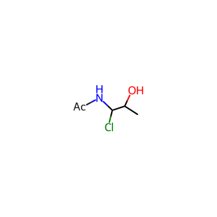 CC(=O)NC(Cl)C(C)O